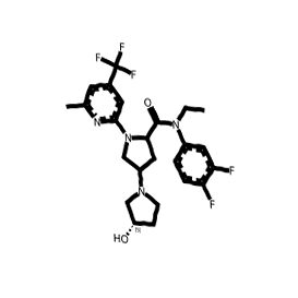 CCN(C(=O)C1CC(N2CC[C@H](O)C2)CN1c1cc(C(F)(F)F)cc(C)n1)c1ccc(F)c(F)c1